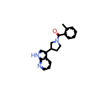 Cc1ccccc1C(=O)N1CCC(c2c[nH]c3ncccc23)C1